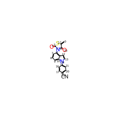 C=C1SC(=O)N(c2cccc3c2ccn3-c2ccc(C#N)cc2)C1=O